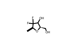 C=C1O[C@H](CO)C(O)C1(F)F